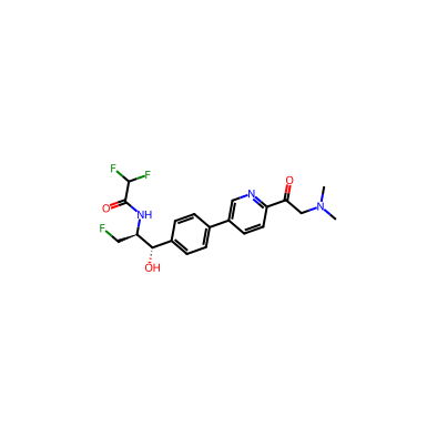 CN(C)CC(=O)c1ccc(-c2ccc([C@H](O)[C@@H](CF)NC(=O)C(F)F)cc2)cn1